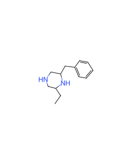 CCC1CNCC(Cc2ccccc2)N1